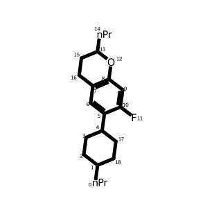 CCCC1CCC(c2cc3c(cc2F)OC(CCC)CC3)CC1